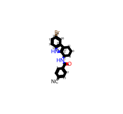 N#Cc1ccc(C(=O)NC2CCCc3c2[nH]c2ccc(Br)cc32)cc1